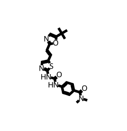 CN(C)C(=O)c1ccc(NC(=O)Nc2ncc(/C=C/c3ncc(C(C)(C)C)o3)s2)cc1